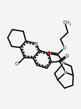 CCCOC(=O)N1CC2CCC(C1)N2C(=O)c1ccc2c(Cl)c3c(nc2c1)CCCC3